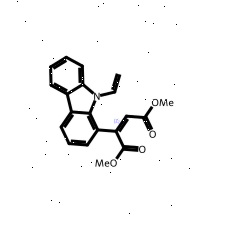 C=Cn1c2ccccc2c2cccc(/C(=C/C(=O)OC)C(=O)OC)c21